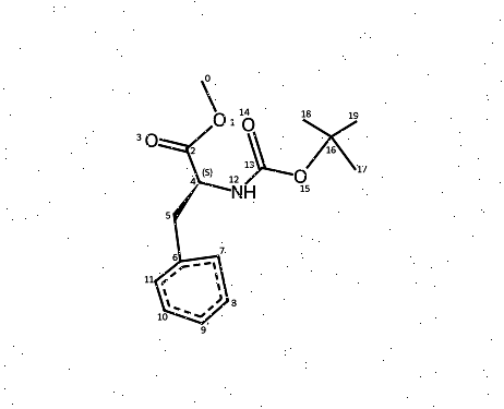 COC(=O)[C@H](Cc1cc[c]cc1)NC(=O)OC(C)(C)C